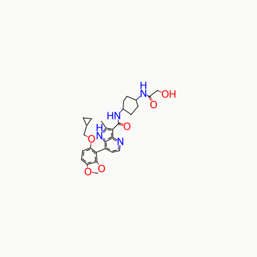 Cc1[nH]c2c(-c3c(OCC4CC4)ccc4c3OCO4)ccnc2c1C(=O)NC1CCC(NC(=O)CO)CC1